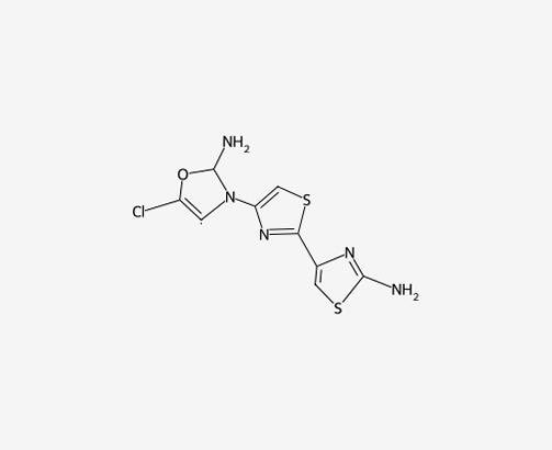 Nc1nc(-c2nc(N3[C]=C(Cl)OC3N)cs2)cs1